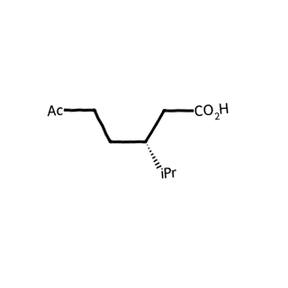 CC(=O)CC[C@H](CC(=O)O)C(C)C